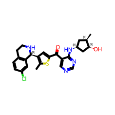 Cc1sc(C(=O)c2cncnc2N[C@@H]2C[C@@H](C)[C@H](O)C2)cc1[C@@H]1NCCc2ccc(Cl)cc21